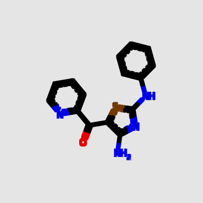 Nc1nc(Nc2ccccc2)sc1C(=O)c1ccccn1